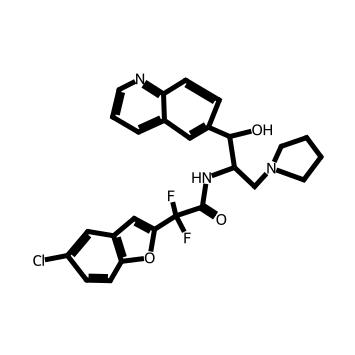 O=C(NC(CN1CCCC1)C(O)c1ccc2ncccc2c1)C(F)(F)c1cc2cc(Cl)ccc2o1